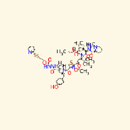 CCCC(=O)OCN(C(=O)[C@@H](NC(=O)[C@H]1CCCCN1C)[C@H](C)CC)[C@H](C[C@@H](OC(C)=O)c1nc(C(=O)N[C@@H](Cc2ccc(O)cc2)C[C@H](C)C(=O)NNC(=O)OCCSSc2ccccn2)cs1)C(C)C